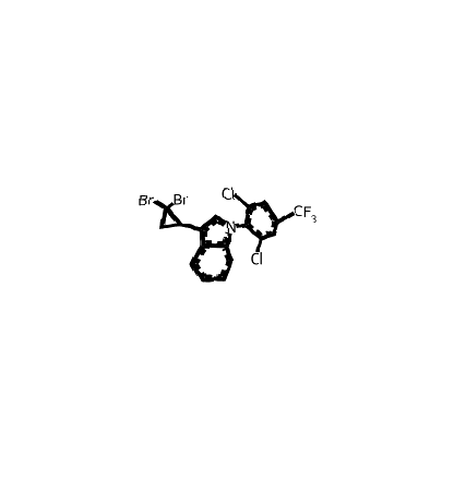 FC(F)(F)c1cc(Cl)c(-n2cc(C3CC3(Br)Br)c3ccccc32)c(Cl)c1